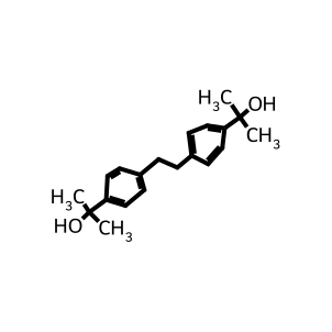 CC(C)(O)c1ccc(CCc2ccc(C(C)(C)O)cc2)cc1